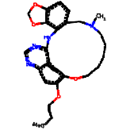 COCCOc1cc2ncnc3c2cc1OCCCCCN(C)Cc1ccc2c(c1N3)OCO2